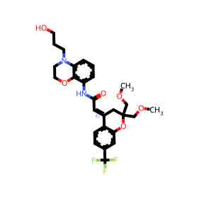 COCC1(COC)C/C(=C\C(=O)Nc2cccc3c2OCCN3CCCO)c2ccc(C(F)(F)F)cc2O1